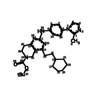 Cc1nccn1-c1ccc(Nc2nc(CCC3CCCCC3)c3c(n2)CCN(C(=O)OC(C)(C)C)C3)cc1